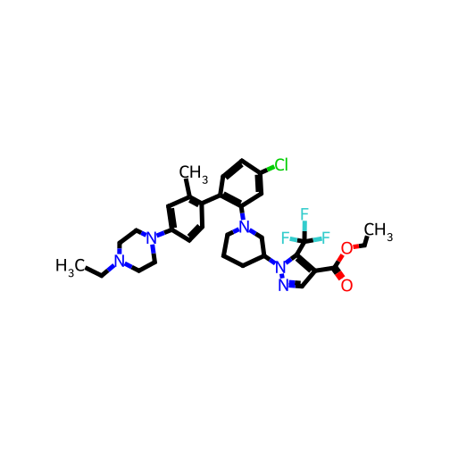 CCOC(=O)c1cnn(C2CCCN(c3cc(Cl)ccc3-c3ccc(N4CCN(CC)CC4)cc3C)C2)c1C(F)(F)F